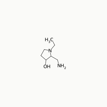 CCN1CCC(O)C1CN